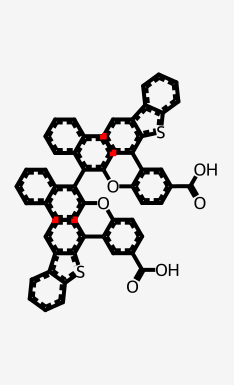 O=C(O)c1ccc(Oc2ccc3ccccc3c2-c2c(Oc3ccc(C(=O)O)cc3-c3cccc4c3sc3ccccc34)ccc3ccccc23)c(-c2cccc3c2sc2ccccc23)c1